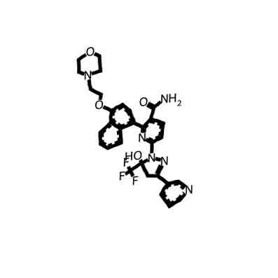 NC(=O)c1ccc(N2N=C(c3cccnc3)CC2(O)C(F)(F)F)nc1-c1ccc(OCCN2CCOCC2)c2ccccc12